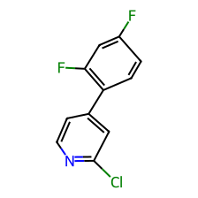 Fc1ccc(-c2ccnc(Cl)c2)c(F)c1